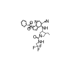 CCC1CN(C(=O)NCC(F)(F)F)CC1Nc1c(C#N)cnc2c1ccn2S(=O)(=O)c1ccccc1